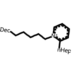 CCCCCCCCCCCCCCC[n+]1ccccc1CCCCCCC